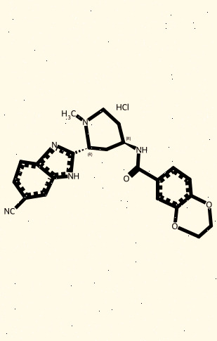 CN1CC[C@@H](NC(=O)c2ccc3c(c2)OCCO3)C[C@@H]1c1nc2ccc(C#N)cc2[nH]1.Cl